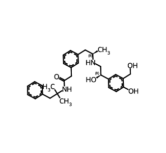 C[C@H](Cc1cccc(CC(=O)NC(C)(C)Cc2ccccc2)c1)NC[C@H](O)c1ccc(O)c(CO)c1